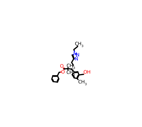 CCCn1cc(CC[C@H](c2ccc(C)c(CO)c2)C(C)(C)C(=O)OCc2ccccc2)nn1